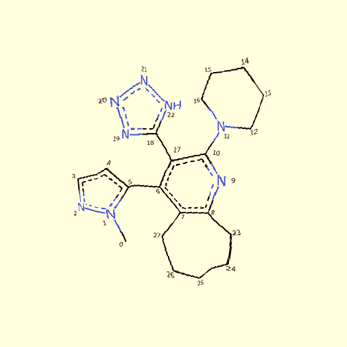 Cn1nccc1-c1c2c(nc(N3CCCCC3)c1-c1nnn[nH]1)CCCCC2